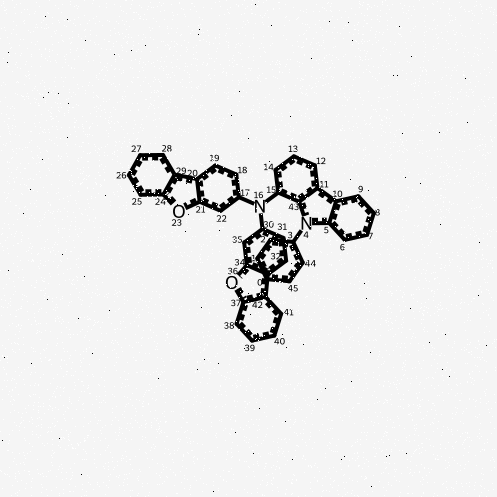 c1ccc(-n2c3ccccc3c3cccc(N(c4ccc5c(c4)oc4ccccc45)c4ccc5c(c4)oc4ccccc45)c32)cc1